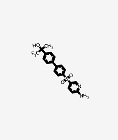 CC(O)(c1ccc(-c2ccc(S(=O)(=O)c3ccc(N)nc3)cc2)cc1)C(F)(F)F